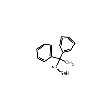 CC([Se][SeH])(c1ccccc1)c1ccccc1